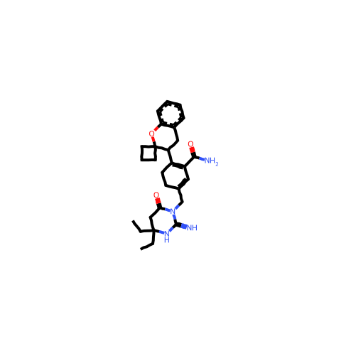 CCC1(CC)CC(=O)N(CC2=CC(C(N)=O)=C(C3Cc4ccccc4OC34CCC4)CC2)C(=N)N1